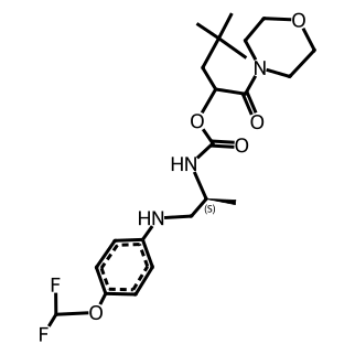 C[C@@H](CNc1ccc(OC(F)F)cc1)NC(=O)OC(CC(C)(C)C)C(=O)N1CCOCC1